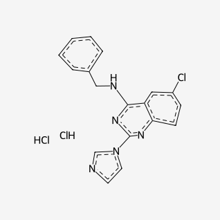 Cl.Cl.Clc1ccc2nc(-n3ccnc3)nc(NCc3ccccc3)c2c1